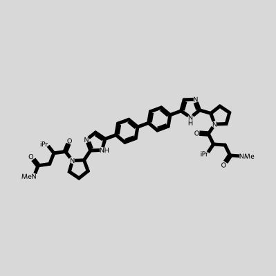 CNC(=O)CC(C(=O)N1CCCC1c1ncc(-c2ccc(-c3ccc(-c4cnc(C5CCCN5C(=O)C(CC(=O)NC)C(C)C)[nH]4)cc3)cc2)[nH]1)C(C)C